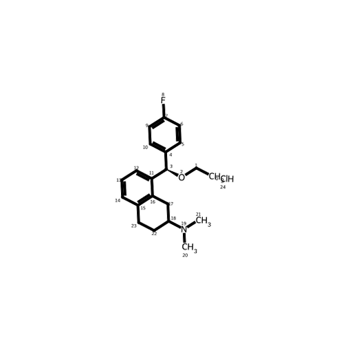 CCO[C@H](c1ccc(F)cc1)c1cccc2c1CC(N(C)C)CC2.Cl